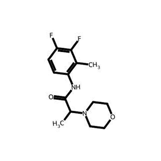 Cc1c(NC(=O)C(C)N2CCOCC2)ccc(F)c1F